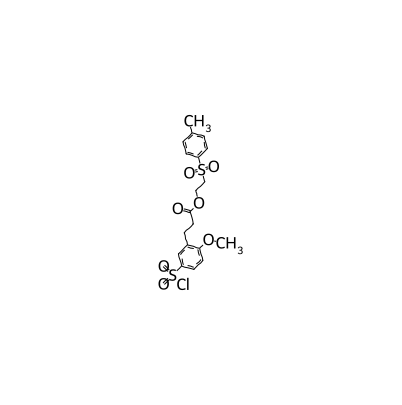 COc1ccc(S(=O)(=O)Cl)cc1CCC(=O)OCCS(=O)(=O)c1ccc(C)cc1